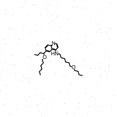 CCCCCCOC(CCC)c1ccc2nccc(NCCCCCCOCCCC)c2c1